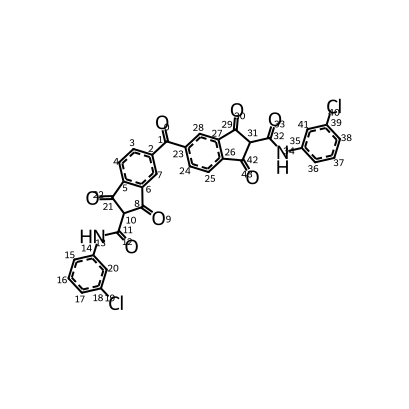 O=C(c1ccc2c(c1)C(=O)C(C(=O)Nc1cccc(Cl)c1)C2=O)c1ccc2c(c1)C(=O)C(C(=O)Nc1cccc(Cl)c1)C2=O